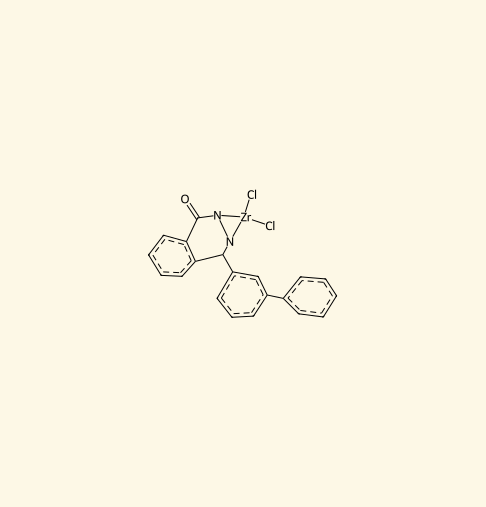 O=C1c2ccccc2C(c2cccc(-c3ccccc3)c2)[N]2[N]1[Zr]2([Cl])[Cl]